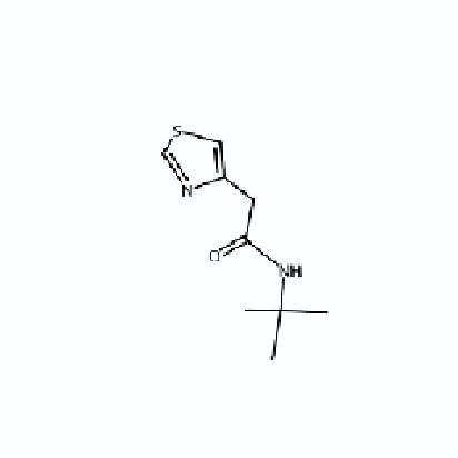 CC(C)(C)NC(=O)Cc1cscn1